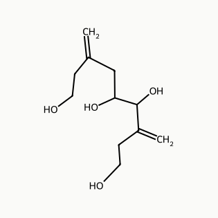 C=C(CCO)CC(O)C(O)C(=C)CCO